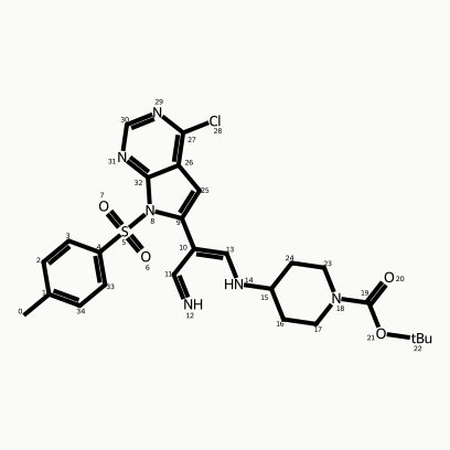 Cc1ccc(S(=O)(=O)n2c(/C(C=N)=C/NC3CCN(C(=O)OC(C)(C)C)CC3)cc3c(Cl)ncnc32)cc1